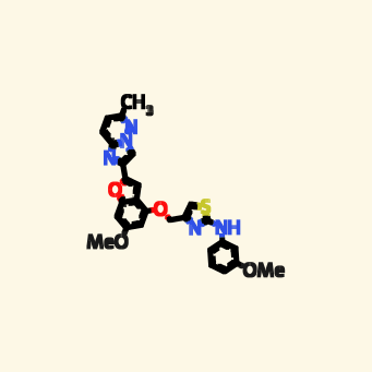 COc1cccc(Nc2nc(COc3cc(OC)cc4oc(-c5cn6nc(C)ccc6n5)cc34)cs2)c1